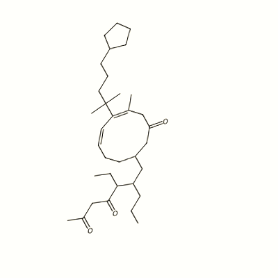 CCCC(CC1CC/C=C\C(C(C)(C)CCCC2CCCC2)=C(\C)CC(=O)C1)C(CC)C(=O)CC(C)=O